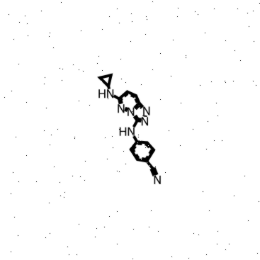 N#Cc1ccc(Nc2nnc3ccc(NC4CC4)nn23)cc1